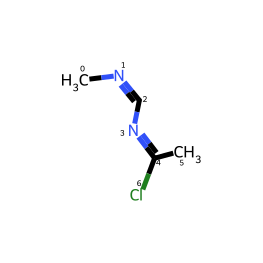 C/N=C\N=C(/C)Cl